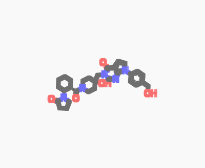 O=C([C@H]1CCCC[C@@H]1N1CCCC1=O)N1CCC(O)(Cn2cnc3c(ccn3-c3ccc(CO)cc3)c2=O)CC1